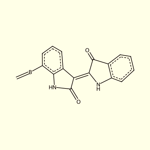 C=Bc1cccc2c1NC(=O)/C2=C1\Nc2ccccc2C1=O